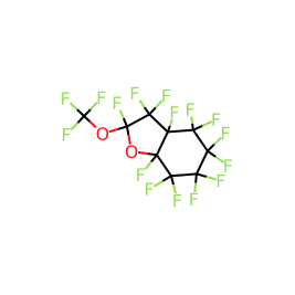 FC(F)(F)OC1(F)OC2(F)C(F)(F)C(F)(F)C(F)(F)C(F)(F)C2(F)C1(F)F